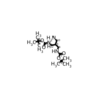 CC(C)(C)OC(=O)NCC(CN)CNC(=O)OC(C)(C)C